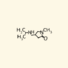 CC(C)NCC1CC(=O)N(C)C1